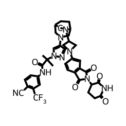 CC(C)(C(=O)Nc1ccc(C#N)c(C(F)(F)F)c1)n1cc(N2CC3CCC(C2)N(C2CN(c4ccc5c(c4)C(=O)N(C4CCC(=O)NC4=O)C5=O)C2)C3)cn1